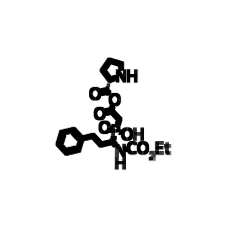 CCOC(=O)NC(CCc1ccccc1)P(=O)(O)CC(=O)OC(=O)[C@@H]1CCCN1